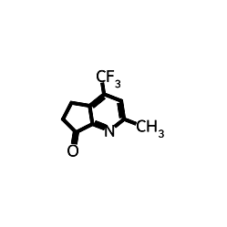 Cc1cc(C(F)(F)F)c2c(n1)C(=O)CC2